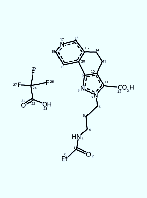 CCC(=O)NCCCn1nc2c(c1C(=O)O)CCc1cnccc1-2.O=C(O)C(F)(F)F